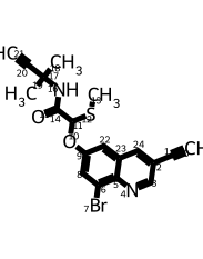 C#Cc1cnc2c(Br)cc(OC(SC)C(=O)NC(C)(C)C#C)cc2c1